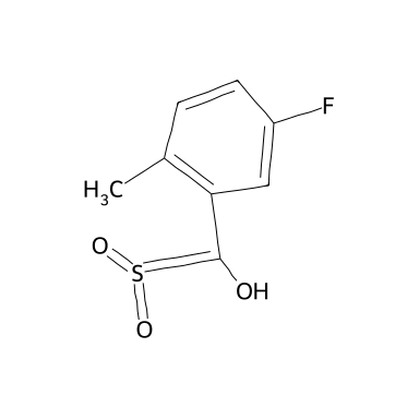 Cc1ccc(F)cc1C(O)=S(=O)=O